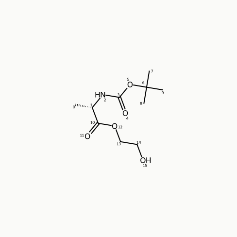 C[C@H](NC(=O)OC(C)(C)C)C(=O)OCCO